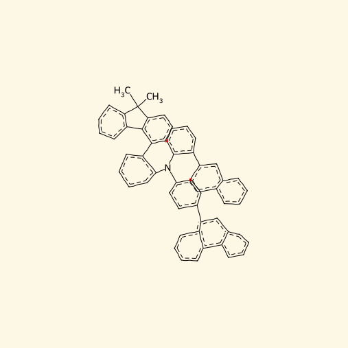 CC1(C)c2ccccc2-c2c(-c3ccccc3N(c3ccc(-c4cc5ccccc5c5ccccc45)cc3)c3ccccc3-c3ccc4ccccc4c3)cccc21